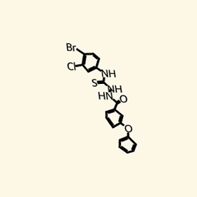 O=C(NNC(=S)Nc1ccc(Br)c(Cl)c1)c1cccc(Oc2ccccc2)c1